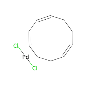 C1=C\CC/C=C\CC\C=C/1.[Cl][Pd][Cl]